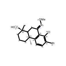 CO/N=C1\CC2[C@](C)(C(=O)O)CCC[C@]2(C)c2ccc(C(C)C)c(Cl)c21